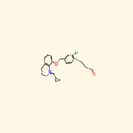 O=CCCc1ccc(COc2cccc3c2N(CC2CC2)CCC3)cc1F